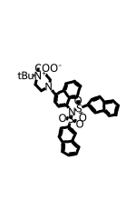 CC(C)(C)[N+]1(C(=O)[O-])CCN(c2ccc(N(S(=O)(=O)c3ccc4ccccc4c3)S(=O)(=O)c3ccc4ccccc4c3)c3ccccc23)CC1